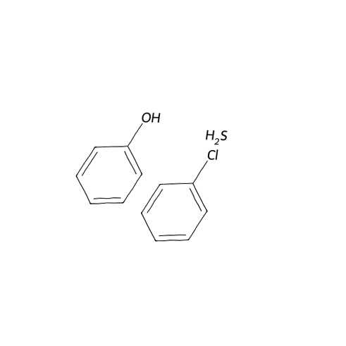 Clc1ccccc1.Oc1ccccc1.S